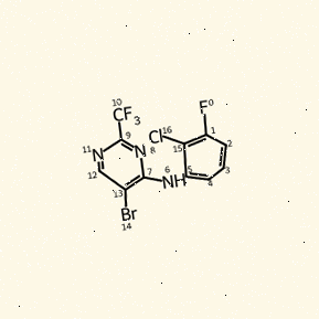 Fc1cccc(Nc2nc(C(F)(F)F)ncc2Br)c1Cl